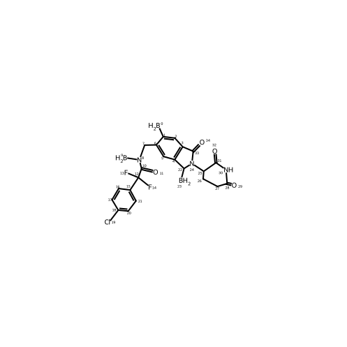 Bc1cc2c(cc1CN(B)C(=O)C(F)(F)c1ccc(Cl)cc1)C(B)N(C1CCC(=O)NC1=O)C2=O